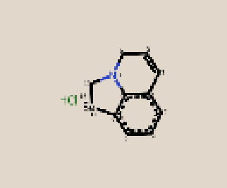 C1=Cc2cccc3c2N(C1)C[Se]3.Cl